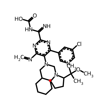 C=Nc1nc(C(=N)NC(=O)O)nc(-c2cncc(Cl)c2)c1N(CC1CCCCC1)CN1CCCC1C(C)(C)OC